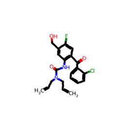 C=CCN(CC=C)C(=O)Nc1cc(CO)c(F)cc1C(=O)c1ccccc1Cl